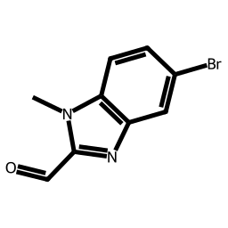 Cn1c(C=O)nc2cc(Br)ccc21